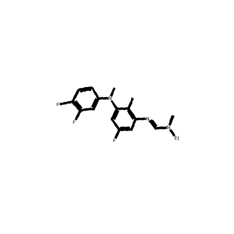 CCN(C)C=Nc1cc(F)cc(N(C)c2ccc(F)c(F)c2)c1C